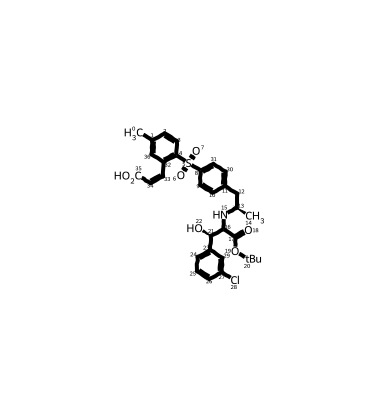 Cc1ccc(S(=O)(=O)c2ccc(C[C@@H](C)NC(C(=O)OC(C)(C)C)[C@H](O)c3cccc(Cl)c3)cc2)c(/C=C\C(=O)O)c1